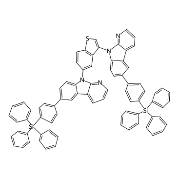 c1ccc([Si](c2ccccc2)(c2ccccc2)c2ccc(-c3ccc4c(c3)c3cccnc3n4-c3ccc4scc(-n5c6ccc(-c7ccc([Si](c8ccccc8)(c8ccccc8)c8ccccc8)cc7)cc6c6cccnc65)c4c3)cc2)cc1